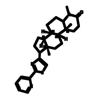 CN1C(=O)CC[C@@]2(C)C1CC[C@@H]1[C@H]2CC[C@]2(C)C(c3csc(-c4ccccn4)n3)CC[C@@H]12